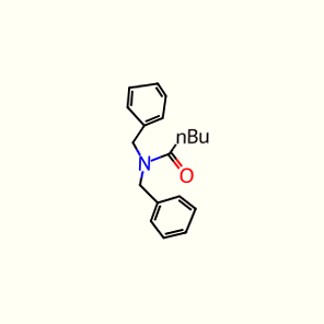 CCCCC(=O)N(Cc1ccccc1)Cc1ccccc1